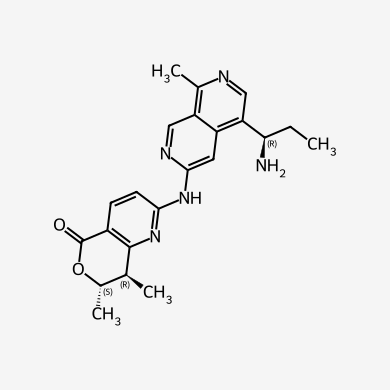 CC[C@@H](N)c1cnc(C)c2cnc(Nc3ccc4c(n3)[C@@H](C)[C@H](C)OC4=O)cc12